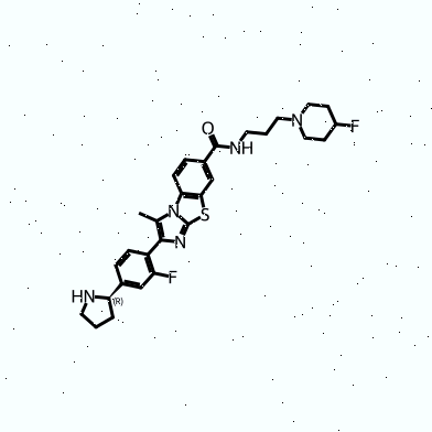 Cc1c(-c2ccc([C@H]3CCCN3)cc2F)nc2sc3cc(C(=O)NCCCN4CCC(F)CC4)ccc3n12